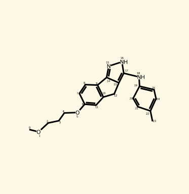 COCCCOc1ccc2c(c1)Cc1c-2n[nH]c1Nc1ccc(C)cc1